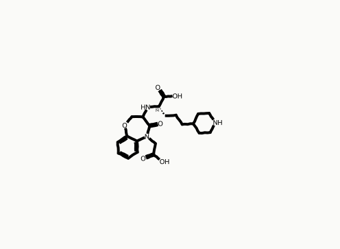 O=C(O)CN1C(=O)C(N[C@@H](CCCC2CCNCC2)C(=O)O)COc2ccccc21